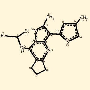 CCC(CC)Nc1c2c(nc3c(-c4cc(C)cs4)c(C)nn13)CCC2